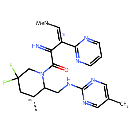 CN/C=C(\C(=N)C(=O)N1CC(F)(F)C[C@@H](C)C1CNc1ncc(C(F)(F)F)cn1)c1ncccn1